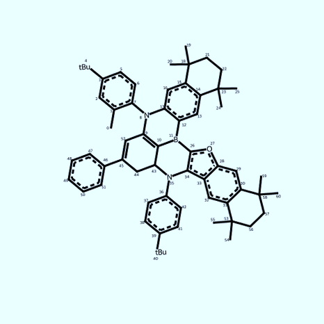 Cc1cc(C(C)(C)C)ccc1N1C2=C3B(c4cc5c(cc41)C(C)(C)CCC5(C)C)c1oc4cc5c(cc4c1N(c1ccc(C(C)(C)C)cc1)C3CC(c1ccccc1)=C2)C(C)(C)CCC5(C)C